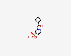 O=C(Cc1cc(S(=O)(=O)O)ccn1)c1ccccc1